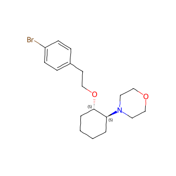 Brc1ccc(CCO[C@H]2CCCC[C@@H]2N2CCOCC2)cc1